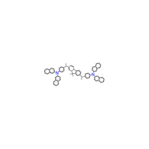 CC(C1=CC2C(C=C1)c1ccc(C(C)c3ccc(N(c4ccc5ccccc5c4)c4ccc5ccccc5c4)cc3)cc1C2(C)C)c1ccc(N(c2ccc3ccccc3c2)c2ccc3ccccc3c2)cc1